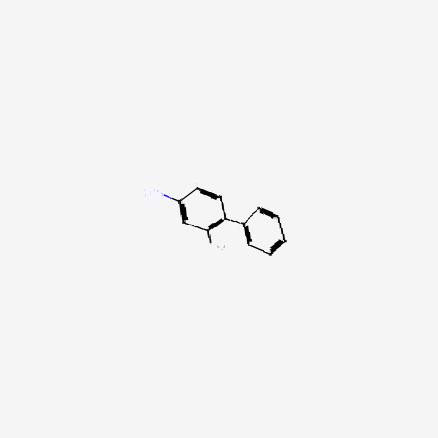 CSc1cc(N)ccc1-c1ccccc1